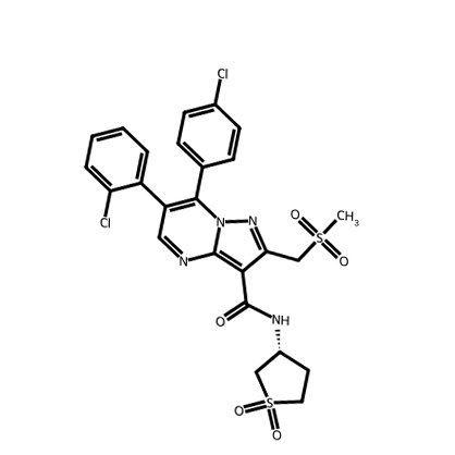 CS(=O)(=O)Cc1nn2c(-c3ccc(Cl)cc3)c(-c3ccccc3Cl)cnc2c1C(=O)N[C@@H]1CCS(=O)(=O)C1